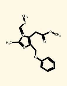 COC=S1C(C)=NC(COc2ccccc2)=C1CC(=O)OC